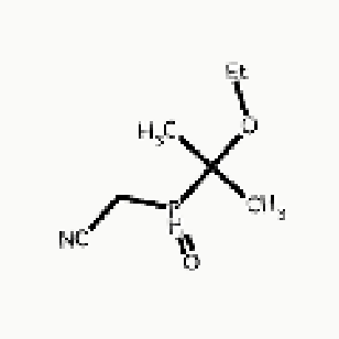 CCOC(C)(C)[PH](=O)CC#N